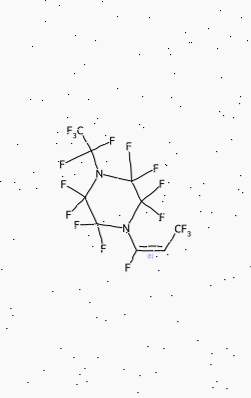 F/C(=C/C(F)(F)F)N1C(F)(F)C(F)(F)N(C(F)(F)C(F)(F)F)C(F)(F)C1(F)F